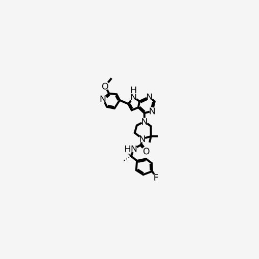 COc1cc(-c2cc3c(N4CCN(C(=O)N[C@@H](C)c5ccc(F)cc5)C(C)(C)C4)ncnc3[nH]2)ccn1